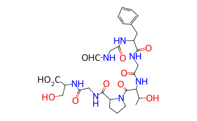 CC(O)C(NC(=O)CNC(=O)C(Cc1ccccc1)NC(=O)CNC=O)C(=O)N1CCCC1C(=O)NCC(=O)NC(CO)C(=O)O